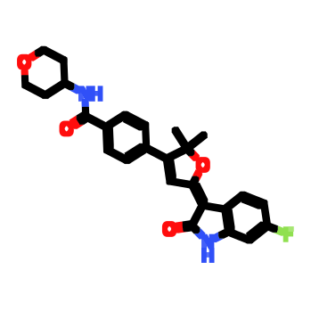 CC1(C)O/C(=C2/C(=O)Nc3cc(F)ccc32)C=C1c1ccc(C(=O)NC2CCOCC2)cc1